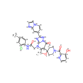 C[C@H]1OC2(CCN(C(=O)c3ncccc3O)CC2)c2c1n(CC(=O)Nc1ccc(C(F)(F)F)cc1Cl)c1nc(-c3ccn4ccnc4c3)nn1c2=O